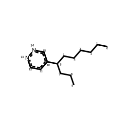 CCCCCCC(CCC)c1ccnnc1